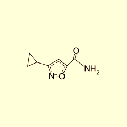 NC(=O)c1cc(C2CC2)no1